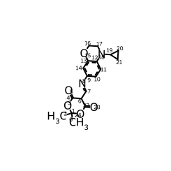 CC1(C)OC(=O)C(/C=N/c2ccc3c(c2)OCCN3C2CC2)C(=O)O1